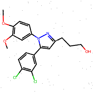 COc1ccc(-n2nc(CCCO)cc2-c2ccc(Cl)c(Cl)c2)cc1OC